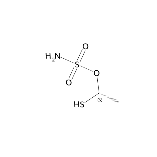 C[C@H](S)OS(N)(=O)=O